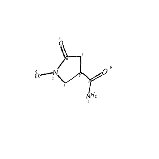 CCN1CC(C(N)=O)CC1=O